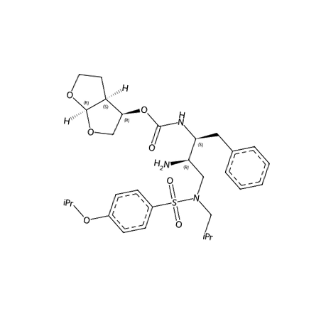 CC(C)CN(C[C@@H](N)[C@H](Cc1ccccc1)NC(=O)O[C@H]1CO[C@H]2OCC[C@H]21)S(=O)(=O)c1ccc(OC(C)C)cc1